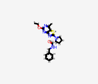 CCOc1nc(C)c2sc(N3CCC[C@@H]3C(=O)NCc3ccccc3)nc2n1